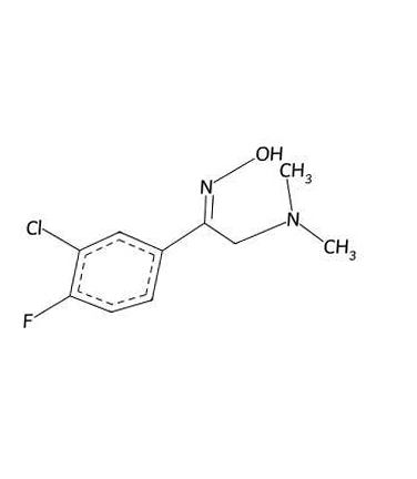 CN(C)CC(=NO)c1ccc(F)c(Cl)c1